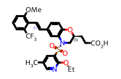 CCOc1ncc(C)cc1S(=O)(=O)N1C[C@H](CCC(=O)O)Oc2ccc(/C=C/c3c(OC)cccc3C(F)(F)F)cc21